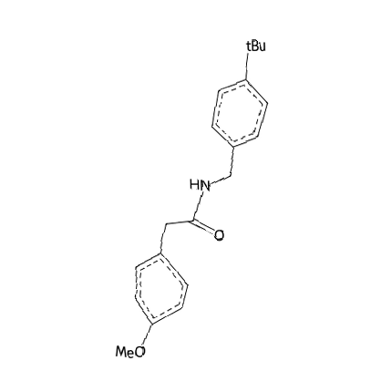 COc1ccc(CC(=O)NCc2ccc(C(C)(C)C)cc2)cc1